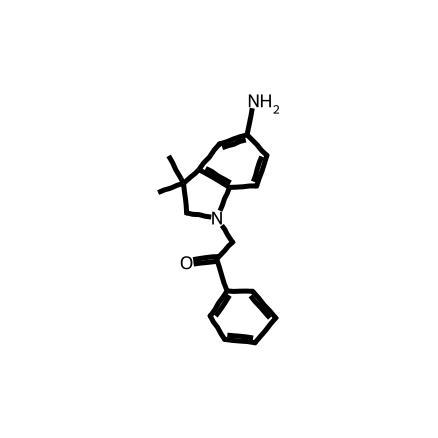 CC1(C)CN(CC(=O)c2ccccc2)c2ccc(N)cc21